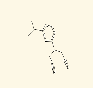 CC(C)c1cccc(C(CC#N)CC#N)c1